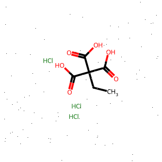 CCC(C(=O)O)(C(=O)O)C(=O)O.Cl.Cl.Cl